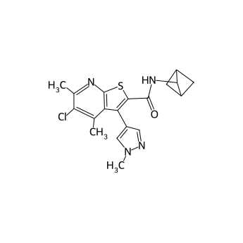 Cc1nc2sc(C(=O)NC3C4CC3C4)c(-c3cnn(C)c3)c2c(C)c1Cl